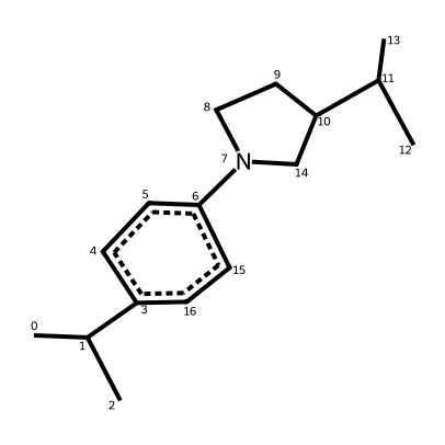 CC(C)c1ccc(N2CCC(C(C)C)C2)cc1